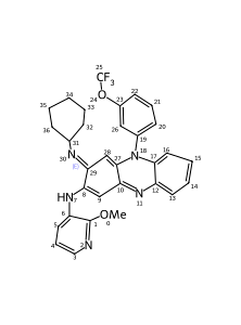 COc1ncccc1Nc1cc2nc3ccccc3n(-c3cccc(OC(F)(F)F)c3)c-2c/c1=N\C1CCCCC1